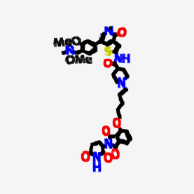 COc1cc(-c2cn(C)c(=O)c3cc(NC(=O)C4CCN(CCCCCOc5cccc6c5C(=O)N(C5CCC(=O)NC5=O)C6=O)CC4)sc23)cc(OC)c1CN(C)C